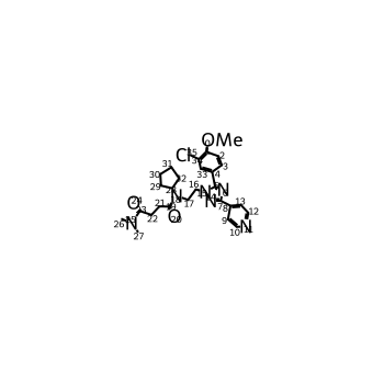 COc1ccc(-c2nc(-c3ccncc3)nn2CCN(C(=O)CCC(=O)N(C)C)C2CCCC2)cc1Cl